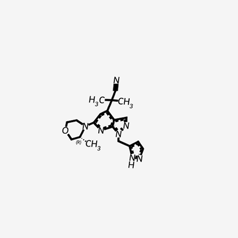 C[C@@H]1COCCN1c1cc(C(C)(C)C#N)c2cnn(Cc3ccn[nH]3)c2n1